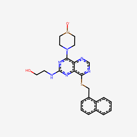 [O-][S+]1CCN(c2nc(NCCO)nc3c(SCc4cccc5ccccc45)ncnc23)CC1